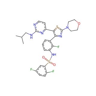 CC(C)CNc1nccc(-c2sc(N3CCOCC3)nc2-c2cccc(NS(=O)(=O)c3cc(F)ccc3F)c2F)n1